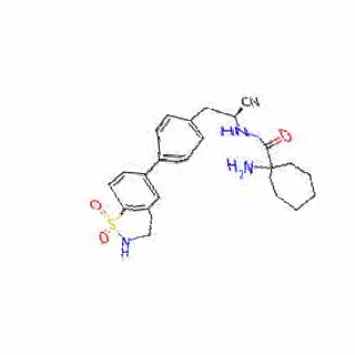 N#C[C@H](Cc1ccc(-c2ccc3c(c2)CNS3(=O)=O)cc1)NC(=O)C1(N)CCCCC1